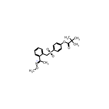 CO/N=C(\C)c1ccccc1CS(=O)(=O)c1ccc(OC(=O)C(C)(C)C)cc1